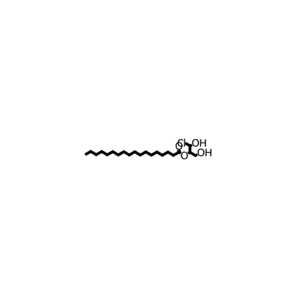 CCCCCCCCCCCCCCCCCC(=O)OC(CO)C(O)Cl